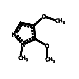 COc1[c]nn(C)c1OC